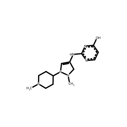 CN1CCC(N2C=C(Nc3nccc(O)n3)CN2C)CC1